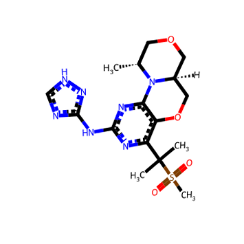 C[C@@H]1COC[C@H]2COc3c(nc(Nc4nc[nH]n4)nc3C(C)(C)S(C)(=O)=O)N21